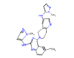 Cc1ccc2nc(Nc3ccnn3C)nc(N3CCc4ncc(Nc5ccnn5C)cc4C3)c2c1